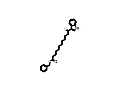 O=C(CCCCCCCCCCC(=O)c1c[nH]c2ccccc12)OCc1ccccc1